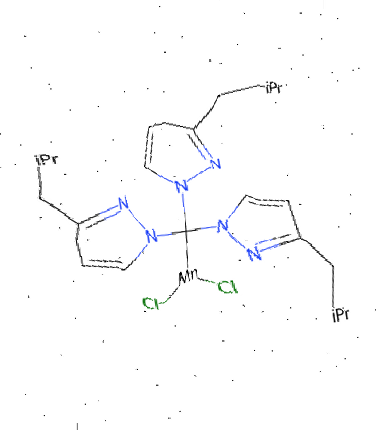 CC(C)Cc1ccn([C](n2ccc(CC(C)C)n2)(n2ccc(CC(C)C)n2)[Mn]([Cl])[Cl])n1